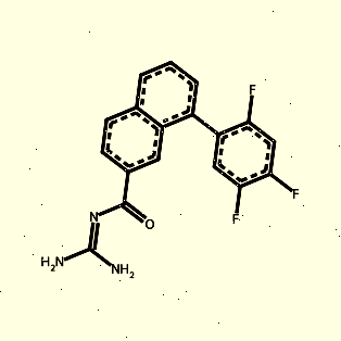 NC(N)=NC(=O)c1ccc2cccc(-c3cc(F)c(F)cc3F)c2c1